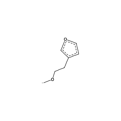 [CH2]OCCc1ccoc1